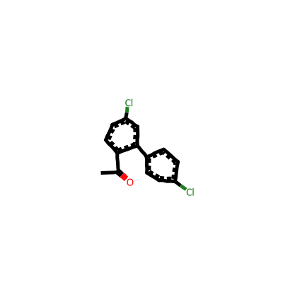 CC(=O)c1ccc(Cl)cc1-c1ccc(Cl)cc1